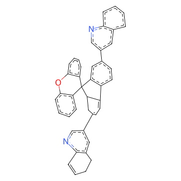 C1=Cc2ncc(C3=CC=C4c5ccc(-c6cnc7ccccc7c6)cc5C5(c6ccccc6Oc6ccccc65)C4C3)cc2CC1